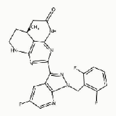 C[C@]12CCNc3nc(-c4nn(Cc5c(F)cccc5F)c5ncc(F)cc45)nc(c31)NC(=O)C2